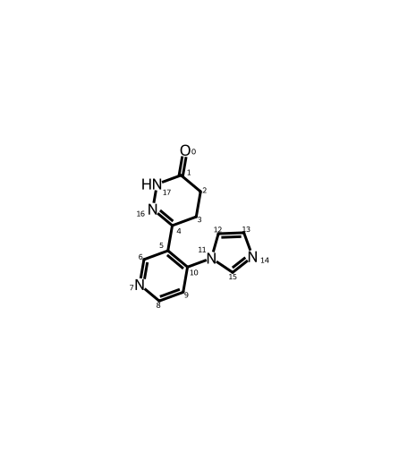 O=C1CCC(c2cnccc2-n2ccnc2)=NN1